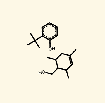 CC(C)(C)c1ccccc1O.CC1=CC(C)C(CO)C(C)C1